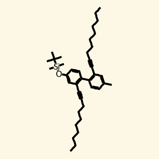 CCCCCCCCC#Cc1cc(C)ccc1-c1ccc(O[Si](C)(C)C(C)(C)C)cc1C#CCCCCCCCC